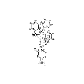 Nc1ccn([C@H]2C[C@H](O)[C@@H](C(O)C(c3ccccc3)(c3ccccc3)c3ccccc3)O2)c(=O)n1